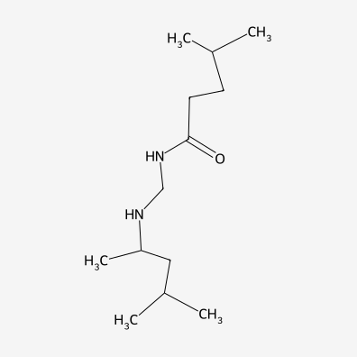 CC(C)CCC(=O)NCNC(C)CC(C)C